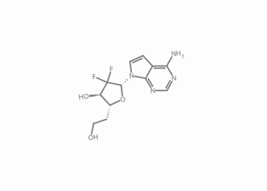 Nc1ncnc2c1ccn2[C@@H]1O[C@H](CCO)[C@@H](O)C1(F)F